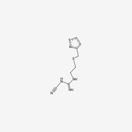 N#CNC(=N)NCCSCc1ccsn1